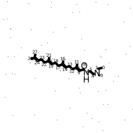 CCN(C)CCNC(=O)/C=C(\C)CC/C=C(\C)CC/C=C(\C)CCC=C(C)C